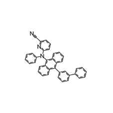 N#Cc1cccc(N(c2ccccc2)c2c3ccccc3c(-c3cccc(-c4ccccc4)c3)c3ccccc23)n1